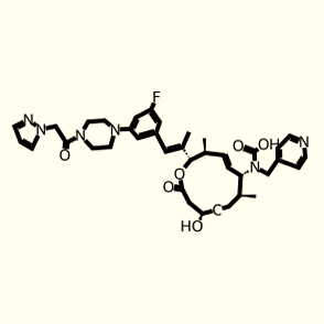 C/C(=C\c1cc(F)cc(N2CCN(C(=O)Cn3cccn3)CC2)c1)[C@H]1OC(=O)C[C@H](O)CC[C@H](C)[C@@H](N(Cc2ccncc2)C(=O)O)/C=C/[C@@H]1C